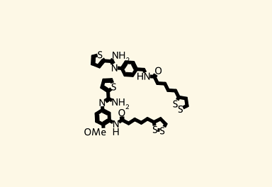 COc1ccc(N=C(N)c2cccs2)cc1NC(=O)CCCCC1CCSS1.NC(=Nc1ccc(CNC(=O)CCCCC2CCSS2)cc1)c1cccs1